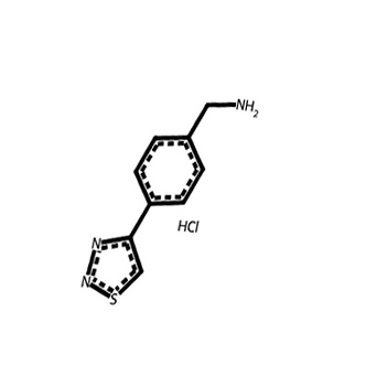 Cl.NCc1ccc(-c2csnn2)cc1